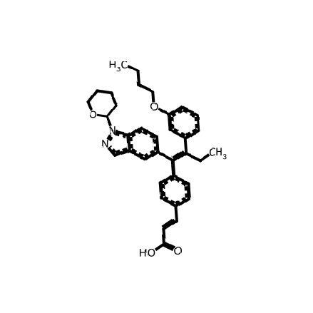 CCCCOc1cccc(/C(CC)=C(/c2ccc(C=CC(=O)O)cc2)c2ccc3c(cnn3C3CCCCO3)c2)c1